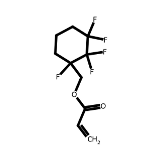 C=CC(=O)OCC1(F)CCCC(F)(F)C1(F)F